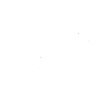 O=C(O)CC[C@@H](NC(=O)c1ccc(CCc2c[nH]c3ncnc(O)c23)cc1)C(=O)O